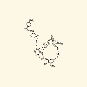 COc1cc2cc(c1Cl)N(C)C(=O)C[C@H](OC(=O)[C@H](C)N(C)C(=O)CCSSC(C)(C)CC(=O)N/N=C(/C)c1ccc(N)cc1)[C@@]1(C)C[C@H]1[C@H](C)[C@@H]1C[C@@](O)(NC(=O)O1)[C@H](OC)/C=C/C=C(\C)C2